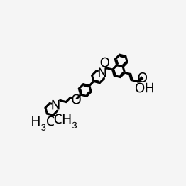 CC1(C)CCCN(CCCOc2ccc(C3=CCN(C(=O)c4ccc(C=CC(=O)O)c5ccccc45)CC3)cc2)C1